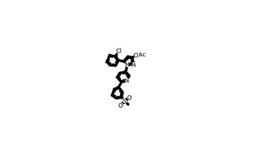 CC(=O)Oc1cc(-c2ccccc2Cl)n(-c2ccc(-c3cccc(S(C)(=O)=O)c3)nc2)n1